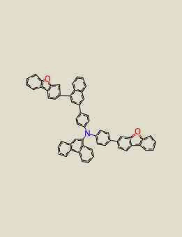 c1ccc2c(-c3ccc4c(c3)oc3ccccc34)cc(-c3ccc(N(c4ccc(-c5ccc6c(c5)oc5ccccc56)cc4)c4cc5ccccc5c5ccccc45)cc3)cc2c1